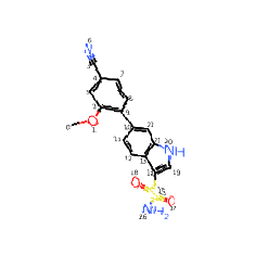 COc1cc(C#N)ccc1-c1ccc2c(S(N)(=O)=O)c[nH]c2c1